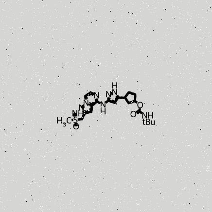 CC(C)(C)NC(=O)OC1CCC(c2cc(Nc3nccn4nc(CS(C)(=N)=O)cc34)n[nH]2)C1